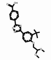 COC(COc1ccc(-c2noc(-c3ccc(C(=O)O)cc3)n2)cc1C(C)(C)C)OC